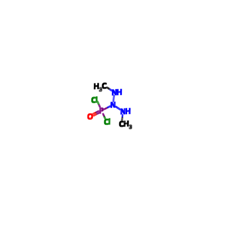 CNN(NC)P(=O)(Cl)Cl